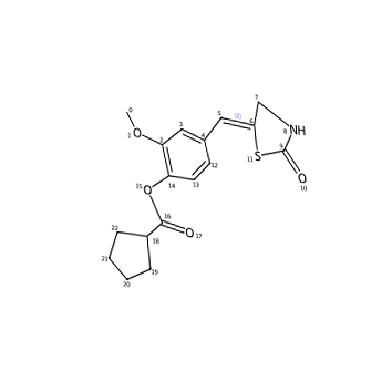 COc1cc(/C=C2/CNC(=O)S2)ccc1OC(=O)C1CCCC1